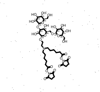 O=C(CCCCCN(CCCCCC(=O)ON1C(=O)CCC1=O)CCO[C@H]1O[C@H](CO[C@H]2O[C@H](CO)[C@@H](O)[C@H](O)[C@@H]2O)[C@@H](O)[C@H](O[C@H]2O[C@H](CO)[C@@H](O)[C@H](O)[C@@H]2O)[C@@H]1O)ON1C(=O)CCC1=O